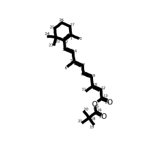 CC1=C(/C=C/C(C)=C/C=C/C(C)=C/C(=O)OC(=O)C(C)(C)C)C(C)(C)CCC1